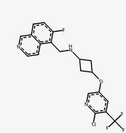 Fc1ccc2cnccc2c1CNC1CC(Oc2cnc(Cl)c(C(F)(F)F)c2)C1